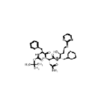 CC(C)(C)OC(=O)N[C@@H](Cc1ccccc1)C(=O)N[C@@H](CC(N)=O)C(=O)N[C@@H](CC1CCCCC1)[C@@H](O)CCSc1ncccn1